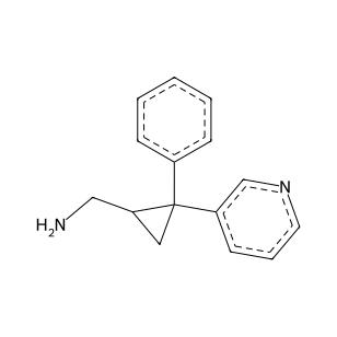 NCC1CC1(c1ccccc1)c1cccnc1